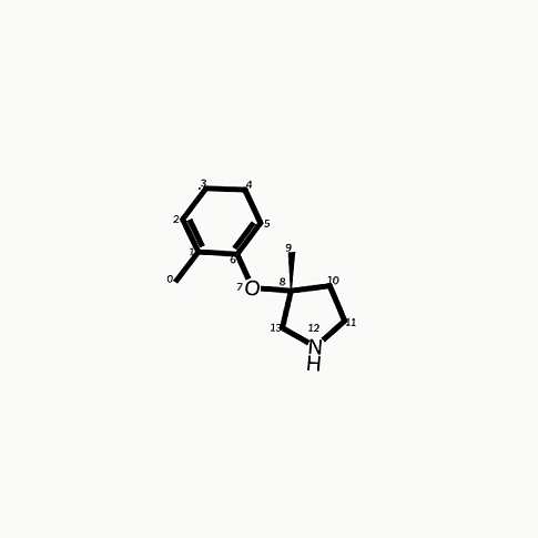 CC1=C[CH]CC=C1O[C@]1(C)CCNC1